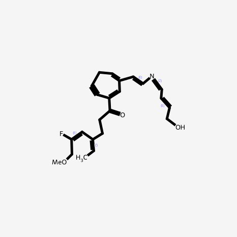 C/C=C(\C=C(\F)COC)CCC(=O)C1=CC(/C=C/N=C\C=C\CO)=CCC#C1